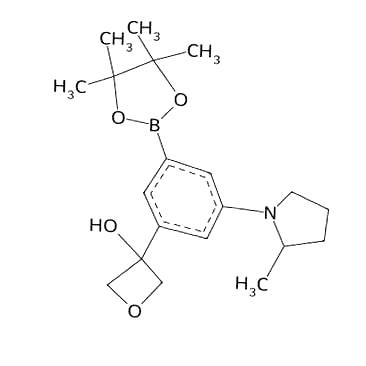 CC1CCCN1c1cc(B2OC(C)(C)C(C)(C)O2)cc(C2(O)COC2)c1